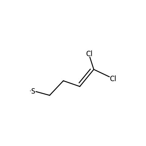 [S]CCC=C(Cl)Cl